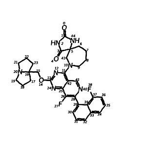 O=C1NC(=O)C2(CCCCN(c3nc(OCC45CCCN4CCC5)nc4c(F)c(-c5cccc6cccc(F)c56)ncc34)C2)N1